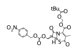 CC1=C(C(=O)OCOC(=O)C(C)(C)C)N2C(=O)[C@H](COC(=O)OCc3ccc([N+](=O)[O-])cc3)[C@@H]2SC1=O